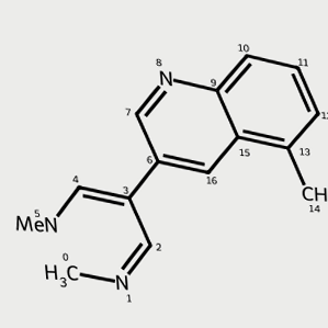 C/N=C\C(=C/NC)c1cnc2cccc(C)c2c1